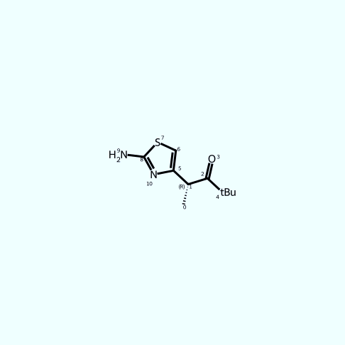 C[C@@H](C(=O)C(C)(C)C)c1csc(N)n1